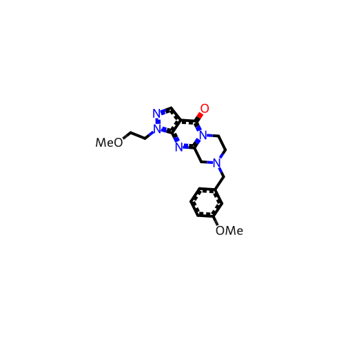 COCCn1ncc2c(=O)n3c(nc21)CN(Cc1cccc(OC)c1)CC3